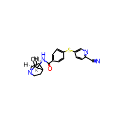 C[C@H]1[C@H](NC(=O)c2ccc(Sc3ccc(C#N)nc3)cc2)C2CCN1CC2